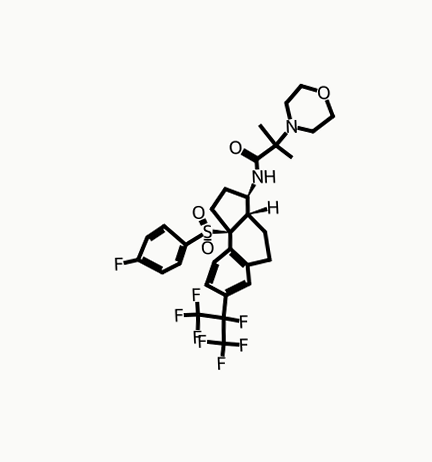 CC(C)(C(=O)N[C@@H]1CC[C@@]2(S(=O)(=O)c3ccc(F)cc3)c3ccc(C(F)(C(F)(F)F)C(F)(F)F)cc3CC[C@@H]12)N1CCOCC1